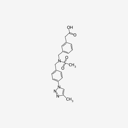 Cc1cn(-c2ccc(CN(Cc3cccc(CC(=O)O)c3)S(C)(=O)=O)cc2)nn1